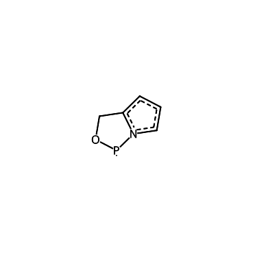 c1cc2n(c1)[P]OC2